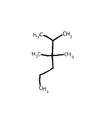 CCCC(C)(C)C(C)C